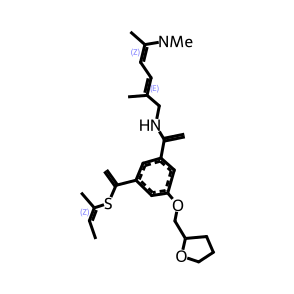 C=C(NC/C(C)=C/C=C(/C)NC)c1cc(OCC2CCCO2)cc(C(=C)S/C(C)=C\C)c1